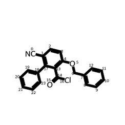 N#Cc1ccc(OCc2ccccc2)c(C(=O)Cl)c1-c1ccccc1